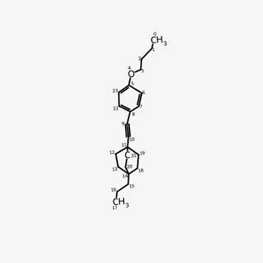 CCCCOc1ccc(C#CC23CCC(CCC)(CC2)CC3)cc1